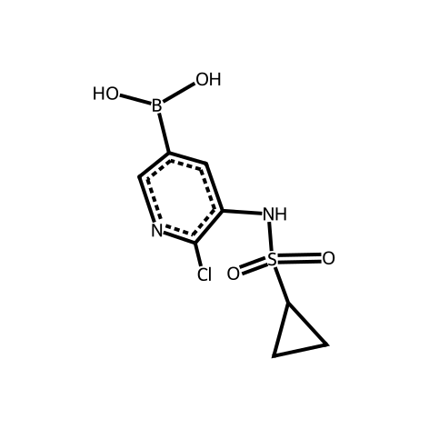 O=S(=O)(Nc1cc(B(O)O)cnc1Cl)C1CC1